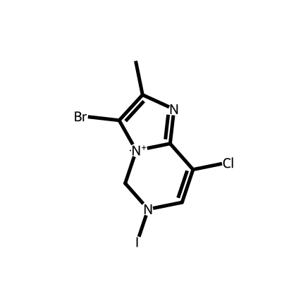 CC1=C(Br)[N+]2CN(I)C=C(Cl)C2=N1